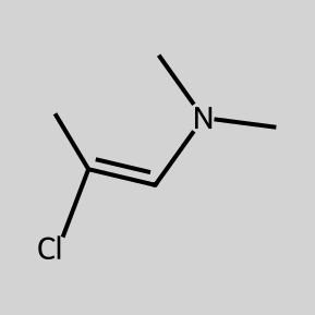 C/C(Cl)=C\N(C)C